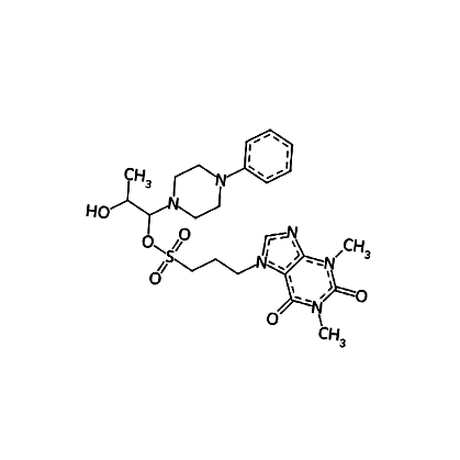 CC(O)C(OS(=O)(=O)CCCn1cnc2c1c(=O)n(C)c(=O)n2C)N1CCN(c2ccccc2)CC1